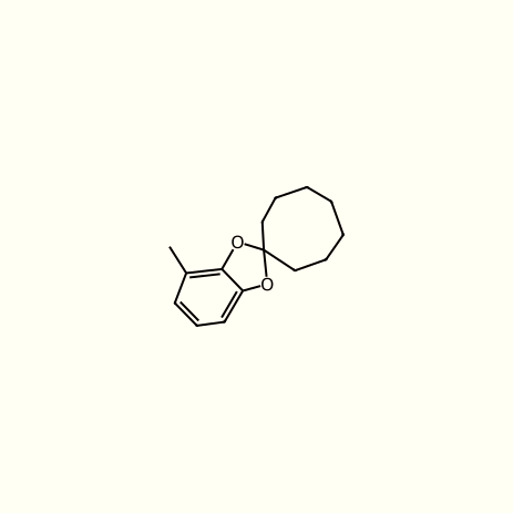 Cc1cccc2c1OC1(CCCCCCC1)O2